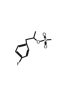 CC(Cc1ccc(F)cc1)OS(C)(=O)=O